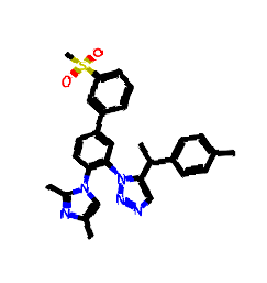 Cc1ccc(C(C)c2cnnn2-c2cc(-c3cccc(S(C)(=O)=O)c3)ccc2-n2cc(C)nc2C)cc1